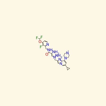 CN1CCN(c2cc(C3CC3)cn3cc(CN(N)/C=C(\N)C(=O)NCc4nccc(OC(F)F)c4F)nc23)CC1